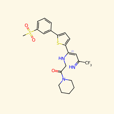 CS(=O)(=O)c1cccc(-c2ccc(/C(=C/C(=N)C(F)(F)F)NCC(=O)N3CCCCC3)s2)c1